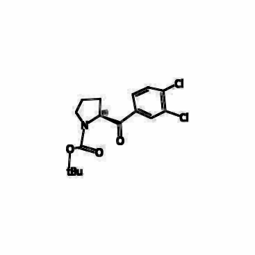 CC(C)(C)OC(=O)N1CCC[C@H]1C(=O)c1ccc(Cl)c(Cl)c1